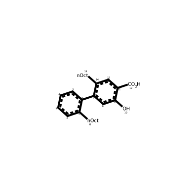 CCCCCCCCc1ccccc1-c1cc(O)c(C(=O)O)cc1CCCCCCCC